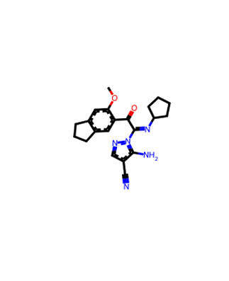 COc1cc2c(cc1C(=O)C(=NC1CCCC1)n1ncc(C#N)c1N)CCC2